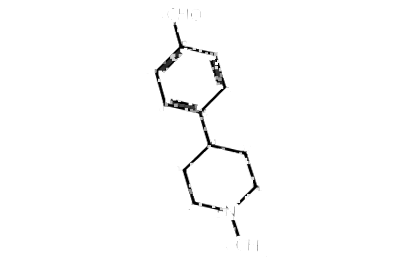 CN1CCC(c2ccc(C=O)cc2)CC1